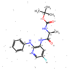 C[C@H](NC(=O)OC(C)(C)C)C(=O)Nc1cc(F)cnc1Nc1ccccc1